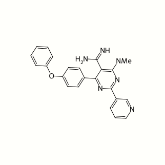 CNc1nc(-c2cccnc2)nc(-c2ccc(Oc3ccccc3)cc2)c1C(=N)N